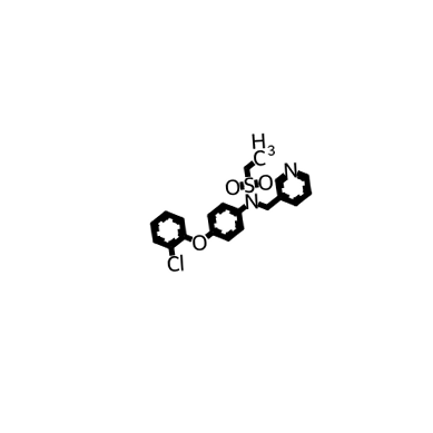 CCS(=O)(=O)N(Cc1cccnc1)c1ccc(Oc2ccccc2Cl)cc1